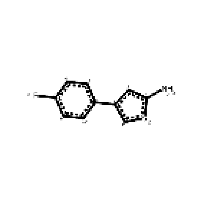 Nc1cc(-c2ccc(F)cc2)cs1